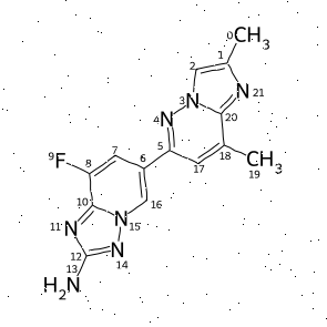 Cc1cn2nc(-c3cc(F)c4nc(N)nn4c3)cc(C)c2n1